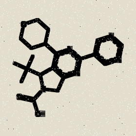 CC(C)(C)C1c2c(nc(-c3cncnc3)nc2C2CCOCC2)CN1C(=O)O